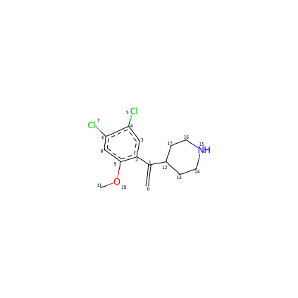 C=C(c1cc(Cl)c(Cl)cc1OC)C1CCNCC1